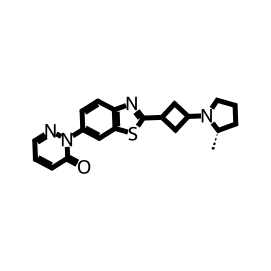 C[C@H]1CCCN1C1CC(c2nc3ccc(-n4ncccc4=O)cc3s2)C1